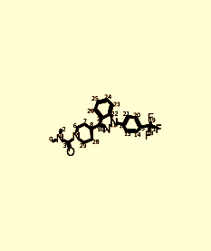 CN(C)C(=O)N1CCC(c2nn(-c3ccc(C(F)(F)F)cc3)c3ccccc23)CC1